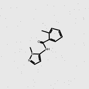 Cc1ccccc1C(=O)Nc1ccnn1C